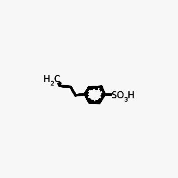 C=CCCc1ccc(S(=O)(=O)O)cc1